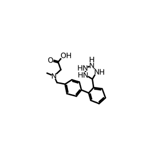 CN(CC(=O)O)Cc1ccc(-c2ccccc2C2NNNN2)cc1